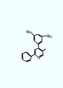 Cc1cnc(-c2ccccc2)cc1-c1cc(C(C)(C)C)cc(C(C)(C)C)c1